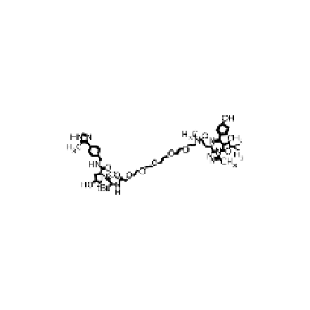 Cc1[nH]cnc1-c1ccc(CNC(=O)[C@@H]2CC(O)CN2C(=O)C(NC(=O)COCCOCCOCCCOCCOCCN(C)C(=O)CC2N=C(c3ccc(O)cc3)C3C(C)C(C)OC3n3c(C)nnc32)C(C)(C)C)cc1